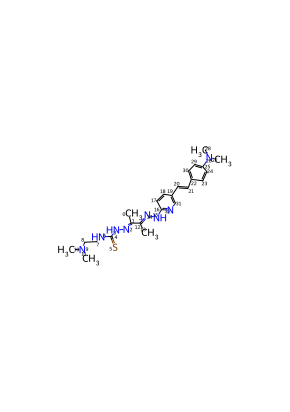 CC(=N\NC(=S)NCCN(C)C)/C(C)=N/Nc1ccc(/C=C/c2ccc(N(C)C)cc2)cn1